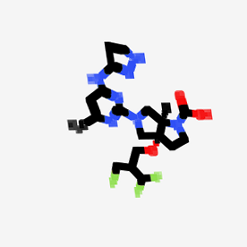 Cc1cc(Nc2cc[nH]n2)nc(N2C[C@H]3N(C(=O)O)CC[C@@]3(OCC(CF)C(F)F)C2)n1